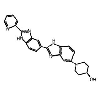 OC1CCN(c2ccc3[nH]c(-c4ccc5[nH]c(-c6ccccn6)nc5c4)nc3c2)CC1